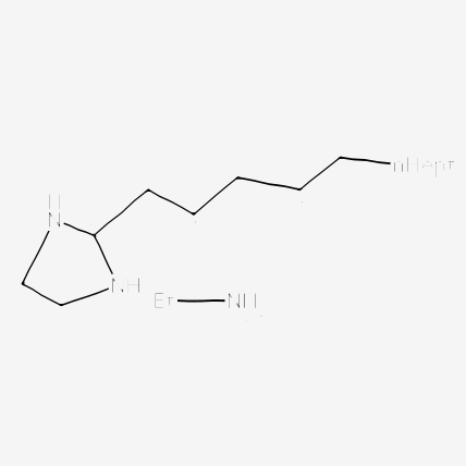 CCCCCCCCCCCCC1NCCN1.CCN